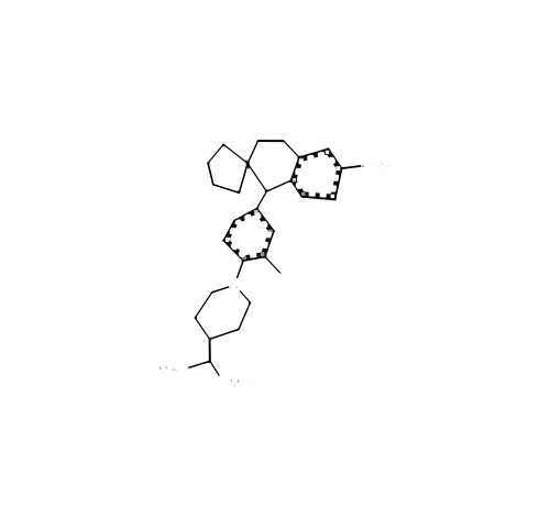 COc1ccc2c(c1)CCC1(CCCC1)C2c1ccc(N2CCC(C(OC)OC)CC2)c(F)c1